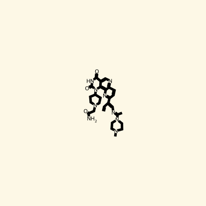 C=C/C(=C\N=C(/C)N1CCN(C)CC1)c1ccc2ncc3c(=O)[nH]c(=O)n(C4CCN(CC(N)=O)CC4)c3c2n1